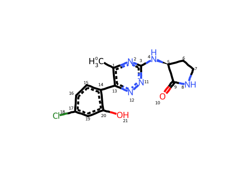 Cc1nc(N[C@H]2CCNC2=O)nnc1-c1ccc(Cl)cc1O